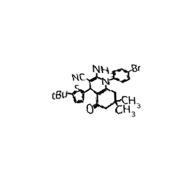 CC1(C)CC(=O)C2=C(C1)N(c1ccc(Br)cc1)C(N)=C(C#N)C2c1ccc(C(C)(C)C)s1